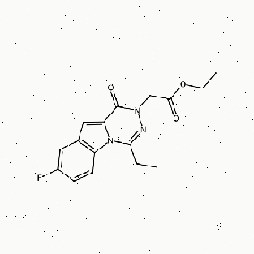 CCOC(=O)Cn1nc(CC)n2c(cc3cc(F)ccc32)c1=O